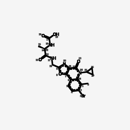 Cc1c(Br)ccc2c3oc(CNC(=O)[C@@H](C)NC(=O)O)nc3c(=O)n(C3CC3)c12